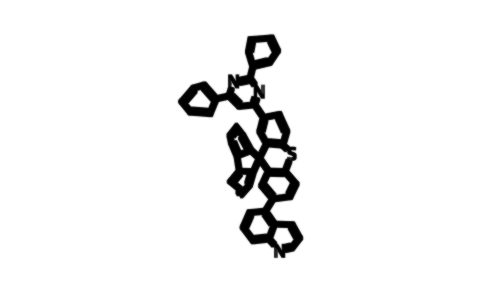 c1ccc(-c2cc(-c3ccc4c(c3)C3(c5cc(-c6cccc7ncccc67)ccc5S4)c4ccccc4-c4ccccc43)nc(-c3ccccc3)n2)cc1